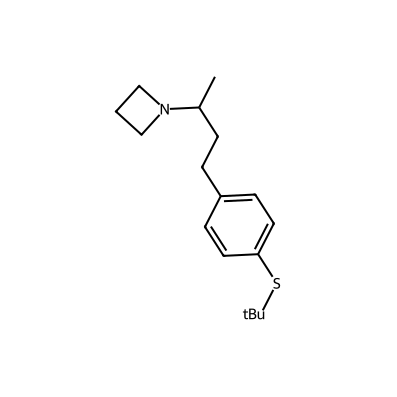 CC(CCc1ccc(SC(C)(C)C)cc1)N1CCC1